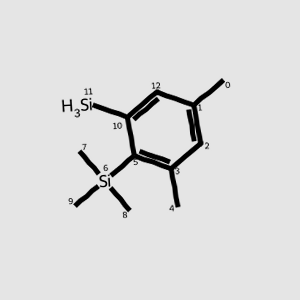 Cc1cc(C)c([Si](C)(C)C)c([SiH3])c1